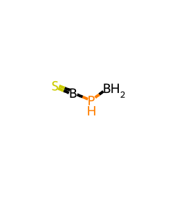 BPB=S